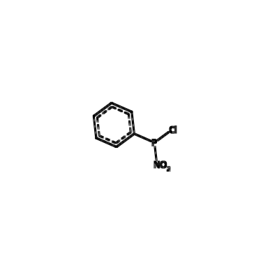 O=[N+]([O-])P(Cl)c1ccccc1